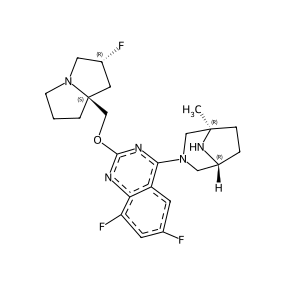 C[C@@]12CC[C@H](CN(c3nc(OC[C@@]45CCCN4C[C@H](F)C5)nc4c(F)cc(F)cc34)C1)N2